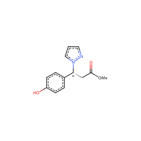 COC(=O)C[C@H](c1ccc(O)cc1)n1cccn1